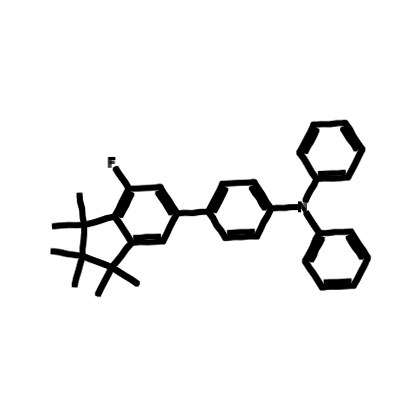 CC1(C)c2cc(-c3ccc(N(c4ccccc4)c4ccccc4)cc3)cc(F)c2C(C)(C)C1(C)C